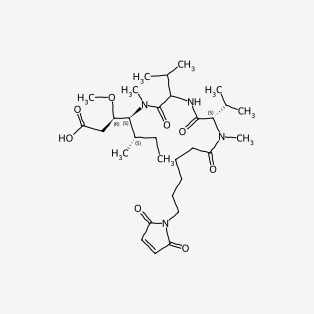 CC[C@H](C)[C@@H]([C@@H](CC(=O)O)OC)N(C)C(=O)C(NC(=O)[C@H](C(C)C)N(C)C(=O)CCCCCN1C(=O)C=CC1=O)C(C)C